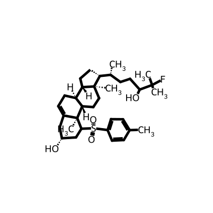 Cc1ccc(S(=O)(=O)C2C[C@H](O)CC3=CC[C@H]4[C@@H]5CC[C@H]([C@H](C)CCC(O)C(C)(C)F)[C@@]5(C)CC[C@@H]4[C@]32C)cc1